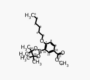 CCCCCCOc1ccc(C(=O)OC)cc1B1OC(C)(C)C(C)(C)O1